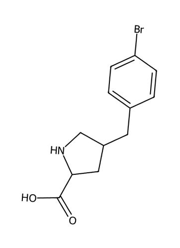 O=C(O)C1CC(Cc2ccc(Br)cc2)CN1